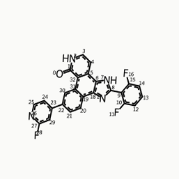 O=c1[nH]ccc2c3[nH]c(-c4c(F)cccc4F)nc3c3ccc(-c4ccnc(F)c4)cc3c12